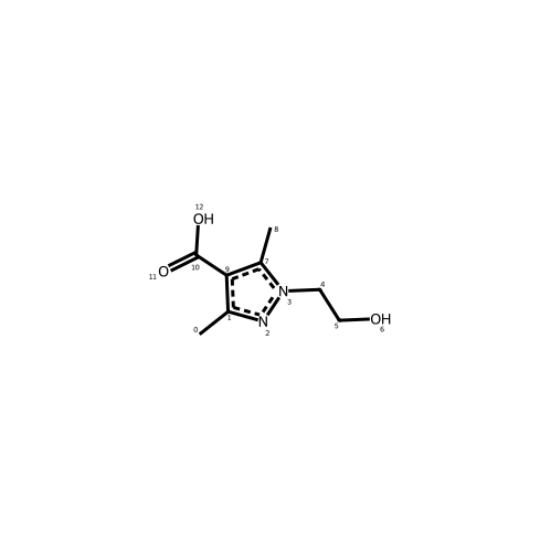 Cc1nn(CCO)c(C)c1C(=O)O